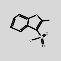 O=S(=O)(Cl)c1c(I)sc2ccccc12